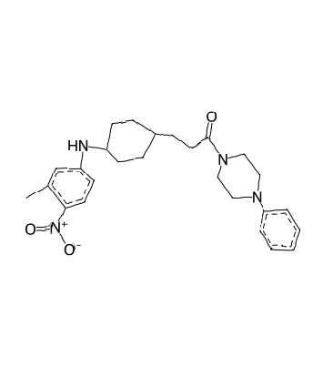 Cc1cc(NC2CCC(CCC(=O)N3CCN(c4ccccc4)CC3)CC2)ccc1[N+](=O)[O-]